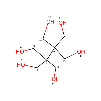 OCC(CO)(CO)C(CO)(CO)CO